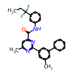 CCC(F)(F)c1cccc(NC(=O)c2cc(C)nc(-c3cc(C)cc(-c4ccccc4)c3)n2)c1